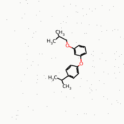 CC(C)COc1cccc(Oc2ccc(C(C)C)cc2)c1